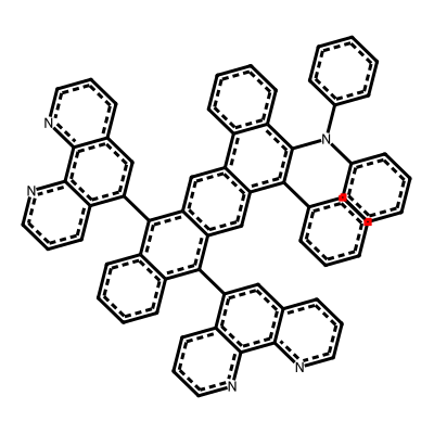 c1ccc(-c2c(N(c3ccccc3)c3ccccc3)c3ccccc3c3cc4c(-c5cc6cccnc6c6ncccc56)c5ccccc5c(-c5cc6cccnc6c6ncccc56)c4cc23)cc1